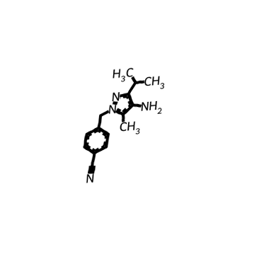 Cc1c(N)c(C(C)C)nn1Cc1ccc(C#N)cc1